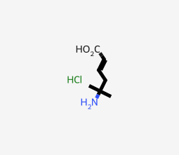 CC(C)(N)CC=CC(=O)O.Cl